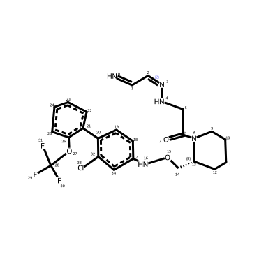 N=C/C=N\NCC(=O)N1CCCC[C@@H]1CONc1ccc(-c2ccccc2OC(F)(F)F)c(Cl)c1